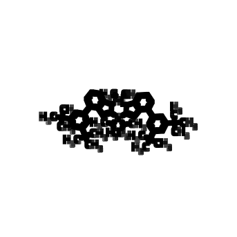 CC(C)[Si]1(C(C)C)C2=Cc3c(-c4cc(C(C)(C)C)cc(C(C)(C)C)c4)cccc3[CH]2[Hf]([CH3])([CH3])[CH]2C1=Cc1c(-c3cc(C(C)(C)C)cc(C(C)(C)C)c3)cccc12